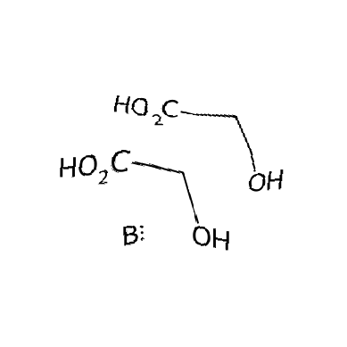 O=C(O)CO.O=C(O)CO.[B]